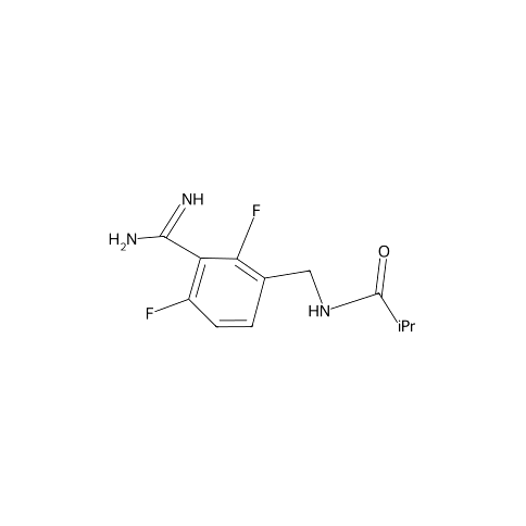 CC(C)C(=O)NCc1ccc(F)c(C(=N)N)c1F